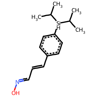 CC(C)[SiH](c1ccc(C=CC=NO)cc1)C(C)C